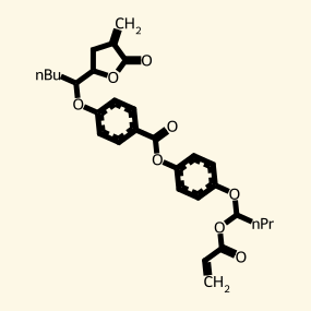 C=CC(=O)OC(CCC)Oc1ccc(OC(=O)c2ccc(OC(CCCC)C3CC(=C)C(=O)O3)cc2)cc1